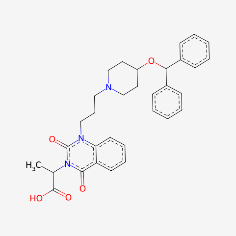 CC(C(=O)O)n1c(=O)c2ccccc2n(CCCN2CCC(OC(c3ccccc3)c3ccccc3)CC2)c1=O